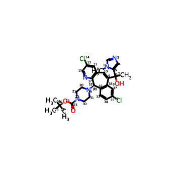 Cn1cncc1C(C)(O)C1=Cc2cc(Cl)cnc2[C@H](N2CCN(C(=O)OC(C)(C)C)CC2)c2ccc(Cl)cc21